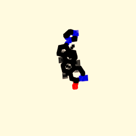 C[C@]12CCNC(=O)C[C@@H]1CC[C@@H]1[C@@H]2CC[C@]2(C)C(n3ccnc3)=CC[C@@H]12